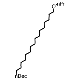 CCCCCCCCCCCCCCCCCCCCCCCCCCOCCC